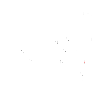 CCCCc1cc(I)cc(-c2nc(-c3cc(I)cc(I)c3)nc(-c3cc(-c4cc(-c5ccccc5)nc(-c5ccccc5)n4)ccc3-n3c4ccccc4c4c3ccc3c5ccccc5n(-c5ccccc5)c34)n2)c1